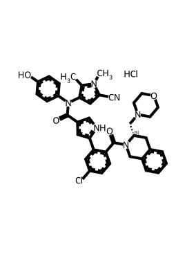 Cc1c(N(C(=O)c2c[nH]c(-c3cc(Cl)ccc3C(=O)N3Cc4ccccc4C[C@H]3CN3CCOCC3)c2)c2ccc(O)cc2)cc(C#N)n1C.Cl